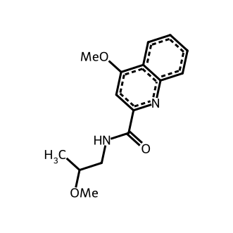 COc1cc(C(=O)NCC(C)OC)nc2ccccc12